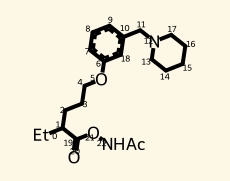 CCC(CCCOc1cccc(CN2CCCCC2)c1)C(=O)ONC(C)=O